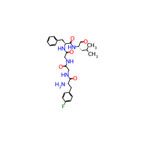 CC(C)C[C@@H](C=O)NC(=O)[C@H](Cc1ccccc1)NC(=O)CNC(=O)CNC(=O)[C@@H](N)Cc1ccc(F)cc1